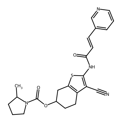 CC1CCCN1C(=O)OC1CCc2c(sc(NC(=O)/C=C/c3cccnc3)c2C#N)C1